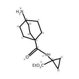 CCOC(=O)C1(NC(=O)C23CCC(N)(CC2)CC3)CC1